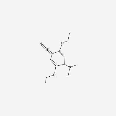 CCOC1=CC(N(C)C)C(OCC)=CC1=[N+]=[N-]